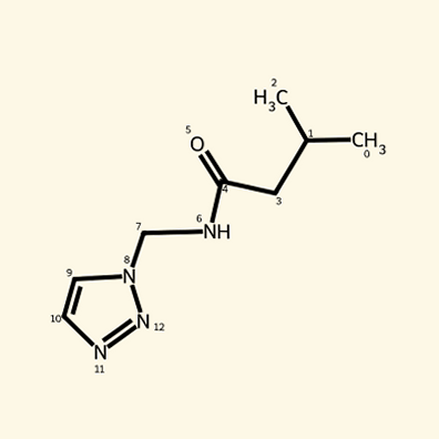 CC(C)CC(=O)NCn1ccnn1